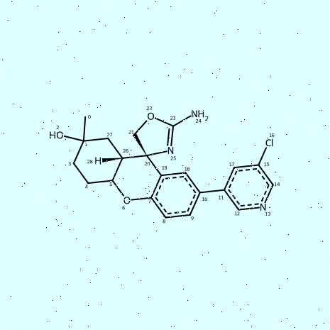 CC1(O)CCC2Oc3ccc(-c4cncc(Cl)c4)cc3[C@]3(COC(N)=N3)[C@H]2C1